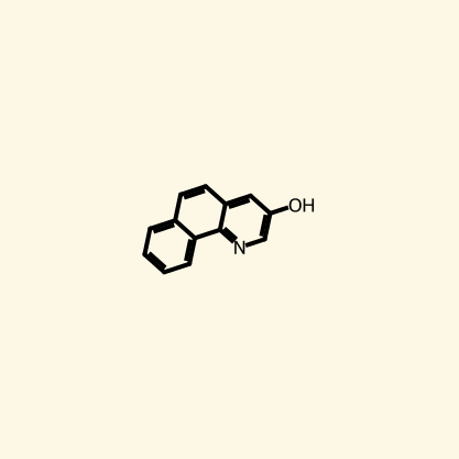 Oc1cnc2c(ccc3ccccc32)c1